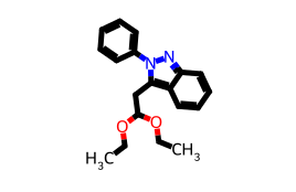 CCOC(Cc1c2ccccc2nn1-c1ccccc1)OCC